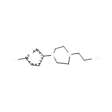 COCCN1CCN(c2ccc(N)cc2)CC1